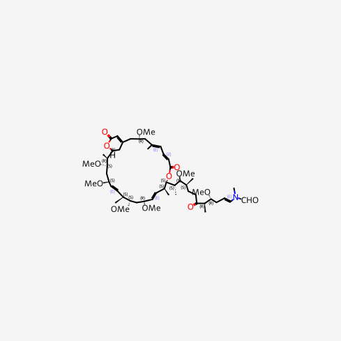 CO[C@H]1CC2=CC(=O)O[C@H](C2)[C@H](C)[C@@H](OC)C[C@H](OC)/C=C/[C@H](C)[C@@H](OC)C[C@@H](OC)/C=C/[C@H](C)[C@@H]([C@@H](C)[C@@H](OC)[C@@H](C)CCC(=O)[C@H](C)[C@@H](C/C=C/N(C)C=O)OC)OC(=O)/C=C\C=C(/C)C1